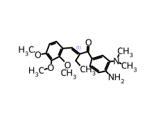 CC/C(=C\c1ccc(OC)c(OC)c1OC)C(=O)c1ccc(N)c(N(C)C)c1